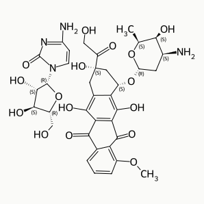 COc1cccc2c1C(=O)c1c(O)c3c(c(O)c1C2=O)C[C@@](O)(C(=O)CO)C[C@@H]3O[C@H]1C[C@H](N)[C@H](O)[C@H](C)O1.Nc1ccn([C@@H]2O[C@H](CO)[C@@H](O)[C@@H]2O)c(=O)n1